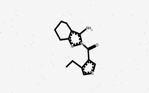 CCc1cscc1C(=O)n1nc2c(c1N)CCCC2